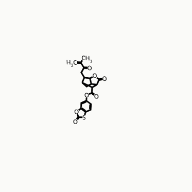 C=C(C)C(=O)CC1C2CC3C1OC(=O)C3C2C(=O)Oc1ccc2sc(=O)oc2c1